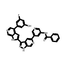 O=C(Nc1cncc(-c2cc3c(-c4cc5c(-c6cc(O)cc(F)c6)cncc5[nH]4)n[nH]c3cn2)c1)c1ccccc1